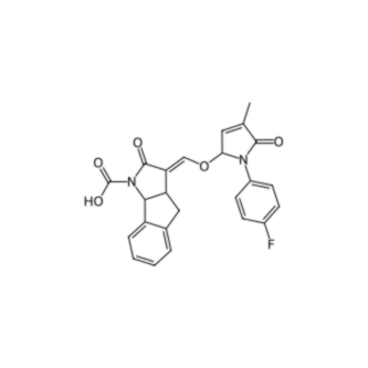 CC1=CC(O/C=C2/C(=O)N(C(=O)O)C3c4ccccc4CC23)N(c2ccc(F)cc2)C1=O